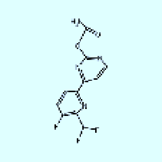 NC(=O)Oc1nccc(-c2ccc(F)c(C(F)F)n2)n1